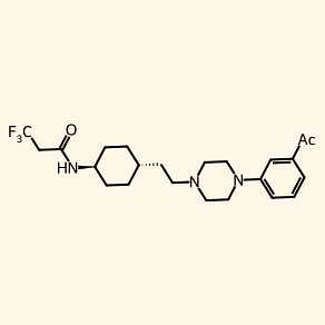 CC(=O)c1cccc(N2CCN(CC[C@H]3CC[C@H](NC(=O)CC(F)(F)F)CC3)CC2)c1